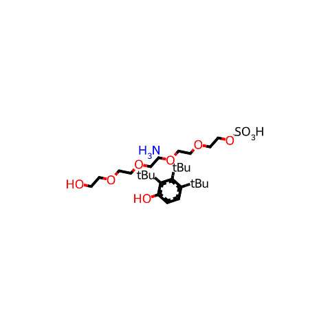 CC(C)(C)c1ccc(O)c(C(C)(C)C)c1C(C)(C)C.N.O=S(=O)(O)OCCOCCOCCOCCOCCO